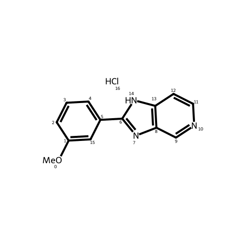 COc1cccc(-c2nc3cnccc3[nH]2)c1.Cl